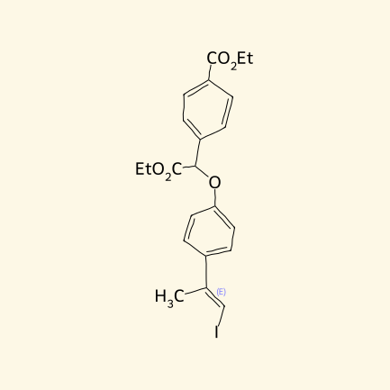 CCOC(=O)c1ccc(C(Oc2ccc(/C(C)=C/I)cc2)C(=O)OCC)cc1